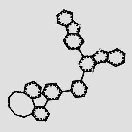 c1cc(-c2cccc(-c3cccc4c3-c3ccccc3CCCCC4)c2)cc(-c2nc(-c3ccc4c(c3)oc3ccccc34)c3sc4ccccc4c3n2)c1